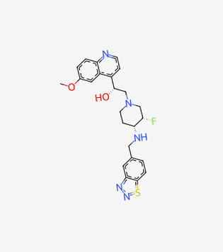 COc1ccc2nccc([C@@H](O)CN3CC[C@@H](NCc4ccc5snnc5c4)[C@@H](F)C3)c2c1